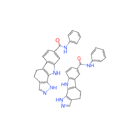 O=C(Nc1ccccc1)c1ccc2[nH]c3c(c2c1)CCc1cn[nH]c1-3.O=C(Nc1ccccc1)c1ccc2c3c([nH]c2c1)-c1[nH]ncc1CC3